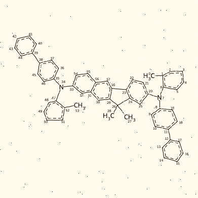 Cc1ccccc1N(c1ccc(-c2ccccc2)cc1)c1ccc2c(c1)C(C)(C)c1cc3cc(N(c4ccc(-c5ccccc5)cc4)c4ccccc4C)ccc3cc1-2